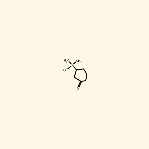 C[Si](C)(C)C1CCCC(=O)C1